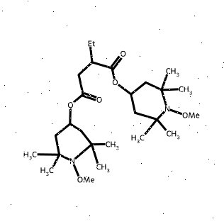 CCC(CC(=O)OC1CC(C)(C)N(OC)C(C)(C)C1)C(=O)OC1CC(C)(C)N(OC)C(C)(C)C1